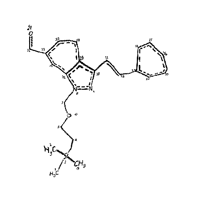 C[Si](C)(C)CCOCn1nc(/C=C/c2ccccc2)c2ccc(C=O)cc21